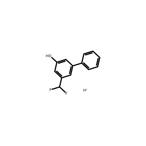 Oc1cc(-c2ccccc2)cc(C(F)F)c1.[H+]